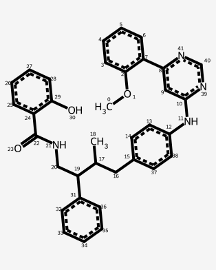 COc1ccccc1-c1cc(Nc2ccc(CC(C)C(CNC(=O)c3ccccc3O)c3ccccc3)cc2)ncn1